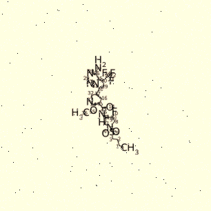 CCCCS(=O)(=O)N1C[C@H](F)[C@H](NC(=O)c2cc(-c3cc(C(F)(F)F)c4c(N)ncnn34)cnc2OC)C1